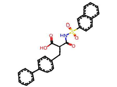 O=C(O)C(Cc1ccc(-c2ccccc2)cc1)C(=O)NS(=O)(=O)c1ccc2ccccc2c1